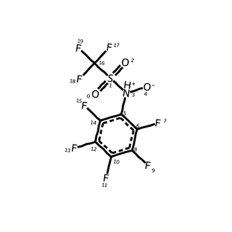 O=S(=O)([NH+]([O-])c1c(F)c(F)c(F)c(F)c1F)C(F)(F)F